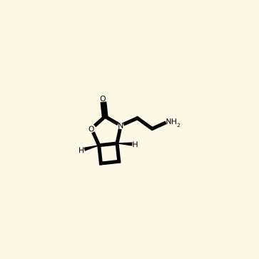 NCCN1C(=O)O[C@H]2CC[C@H]21